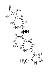 Cc1nonc1-c1ccc2c(Nc3ccc(C(F)(F)F)cn3)ccnc2n1